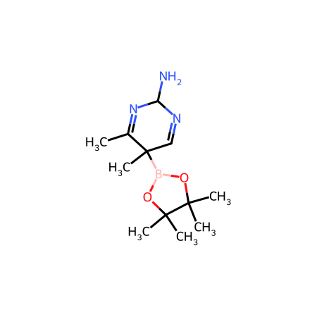 CC1=NC(N)N=CC1(C)B1OC(C)(C)C(C)(C)O1